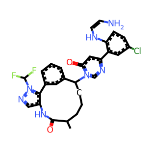 CC1CCCC(n2cnc(-c3cc(Cl)ccc3N/C=C\N)cc2=O)c2cccc(c2)-c2c(cnn2C(F)F)NC1=O